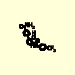 NC(=O)c1ccc(-c2cccc(C(=O)Nc3ccc(C(F)(F)F)cc3)c2O)cc1